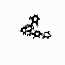 Fc1cccc(F)c1-c1nc(Nc2ccc(N3CCOCC3)cc2)n2nccc2n1